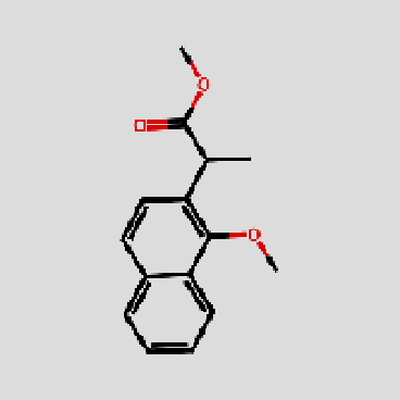 COC(=O)C(C)c1ccc2ccccc2c1OC